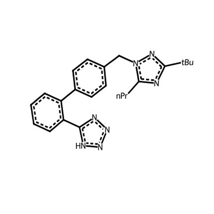 CCCc1nc(C(C)(C)C)nn1Cc1ccc(-c2ccccc2-c2nnn[nH]2)cc1